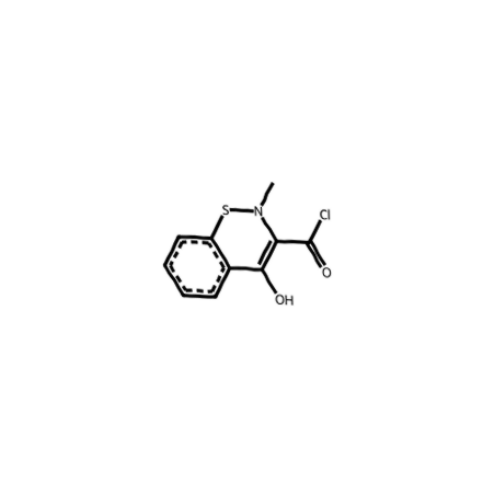 CN1Sc2ccccc2C(O)=C1C(=O)Cl